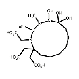 CCCN1N(C)N(O)C(O)(O)CCCCCCC(CC(=O)O)(CC(=O)O)N1CC(=O)O